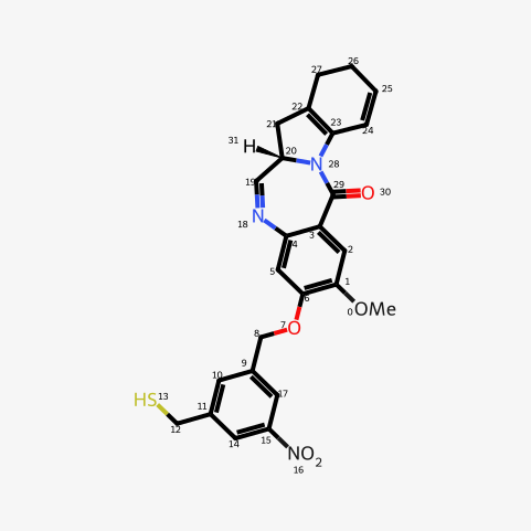 COc1cc2c(cc1OCc1cc(CS)cc([N+](=O)[O-])c1)N=C[C@@H]1CC3=C(C=CCC3)N1C2=O